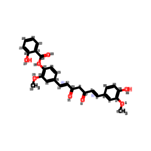 COc1cc(/C=C/C(=O)CC(=O)/C=C/c2ccc(OC(=O)c3ccccc3O)c(OC)c2)ccc1O